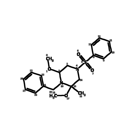 COC1CN(S(=O)(=O)c2ccccc2)CC(C)(OC)N1Cc1ccccc1